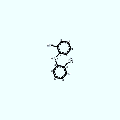 CCc1ccccc1Nc1ccccc1C#N